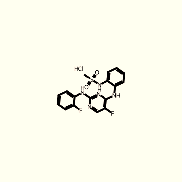 CS(=O)(=O)Nc1ccccc1Nc1nc(Nc2ccccc2F)ncc1F.Cl